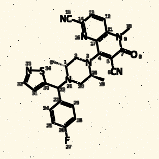 C[C@@H]1CN(c2c(C#N)c(=O)n(C)c3ccc(C#N)nc23)[C@@H](C)CN1C(c1ccc(F)cc1)c1ccns1